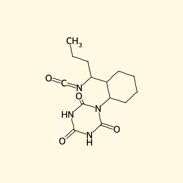 CCCC(N=C=O)C1CCCCC1n1c(=O)[nH]c(=O)[nH]c1=O